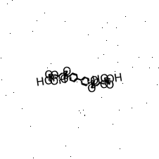 O=P(O)(O)OCCS(=O)(=O)c1ccc(-c2ccc(S(=O)(=O)CCOP(=O)(O)O)cc2)cc1